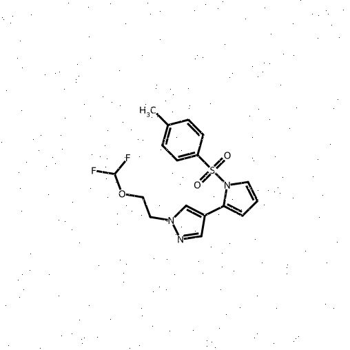 Cc1ccc(S(=O)(=O)n2cccc2-c2cnn(CCOC(F)F)c2)cc1